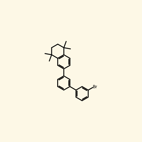 CC1(C)CCC(C)(C)c2cc(-c3cccc(-c4cccc(Br)c4)c3)ccc21